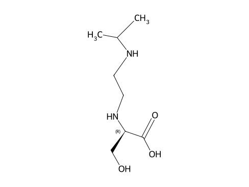 CC(C)NCCN[C@H](CO)C(=O)O